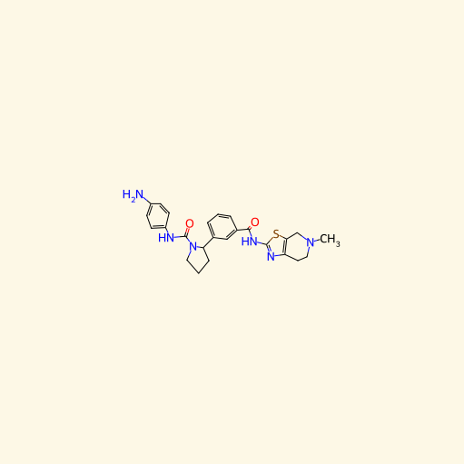 CN1CCc2nc(NC(=O)c3cccc(C4CCCN4C(=O)Nc4ccc(N)cc4)c3)sc2C1